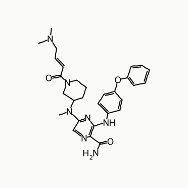 CN(C)CC=CC(=O)N1CCCC(N(C)c2cnc(C(N)=O)c(Nc3ccc(Oc4ccccc4)cc3)n2)C1